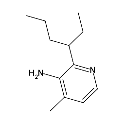 CCCC(CC)c1nccc(C)c1N